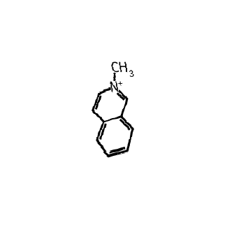 C[n+]1ccc2ccccc2c1